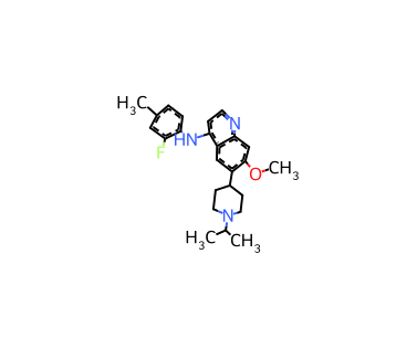 COc1cc2nccc(Nc3ccc(C)cc3F)c2cc1C1CCN(C(C)C)CC1